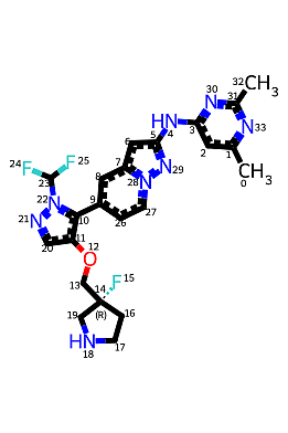 Cc1cc(Nc2cc3cc(-c4c(OC[C@@]5(F)CCNC5)cnn4C(F)F)ccn3n2)nc(C)n1